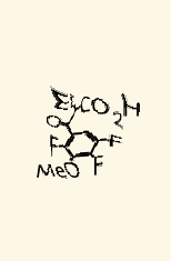 CCC(C(=O)O)C(=O)c1cc(F)c(F)c(OC)c1F